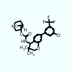 CC1(C)COc2cc(-c3cc(Cl)cc(C(F)(F)F)c3)ccc2C1NC(=O)O[C@H]1CN2CCC1CC2